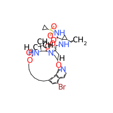 C=C[C@@H]1C[C@]1(NC(=O)[C@@H]1C[C@@H]2CN1C(=O)[C@H](C(C)(C)C)NC(=O)OCCCCCCc1cc(Br)c3ccnc(c3c1)O2)C(=O)NS(=O)(=O)C1CC1